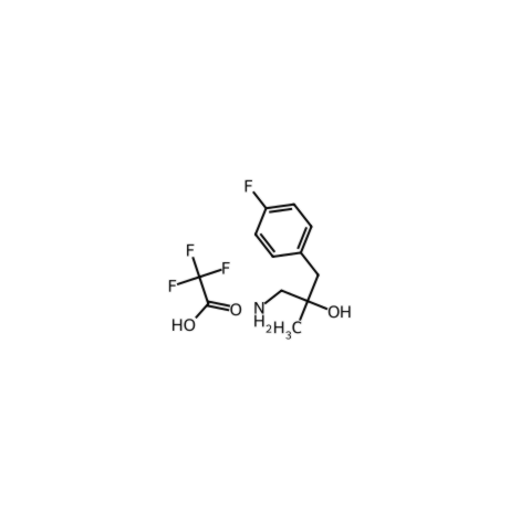 CC(O)(CN)Cc1ccc(F)cc1.O=C(O)C(F)(F)F